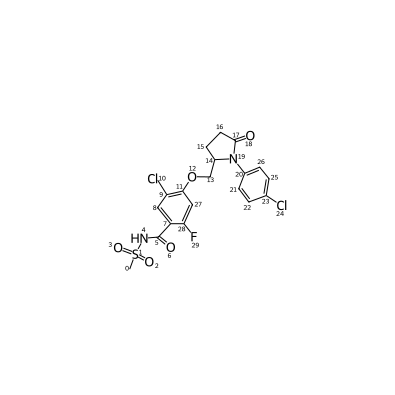 CS(=O)(=O)NC(=O)c1cc(Cl)c(OCC2CCC(=O)N2c2ccc(Cl)cc2)cc1F